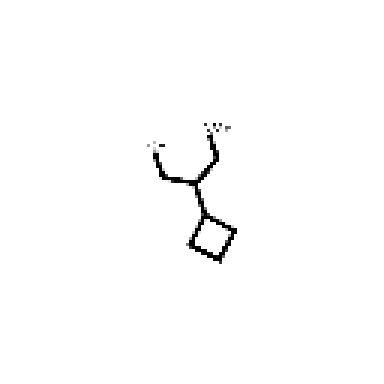 CNCC(CO)C1CCC1